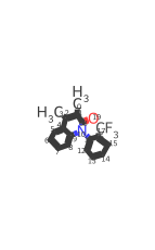 Cc1c(C)c2ccccc2n(-c2ccccc2C(F)(F)F)c1=O